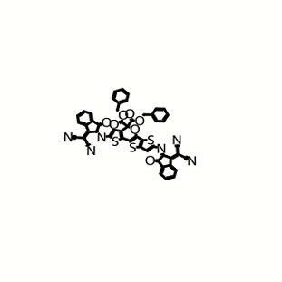 N#CC(C#N)=C1/C(=N/c2cc3c(s2)-c2sc4cc(/N=C5\C(=O)c6ccccc6C5=C(C#N)C#N)sc4c2OC3(C(=O)OCc2ccccc2)C(=O)OCc2ccccc2)C(=O)c2ccccc21